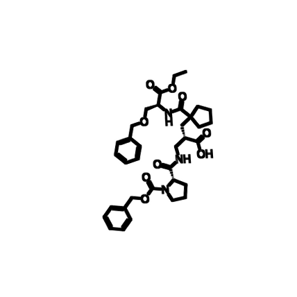 CCOC(=O)[C@H](COCc1ccccc1)NC(=O)C1(C[C@@H](CNC(=O)[C@@H]2CCCN2C(=O)OCc2ccccc2)C(=O)O)CCCC1